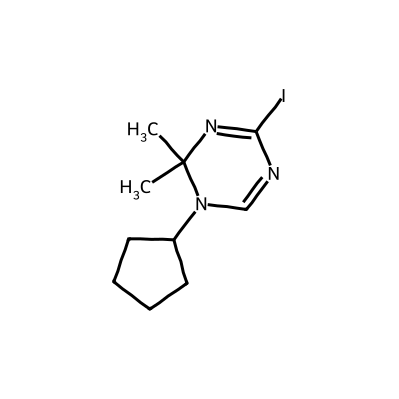 CC1(C)N=C(I)N=CN1C1CCCC1